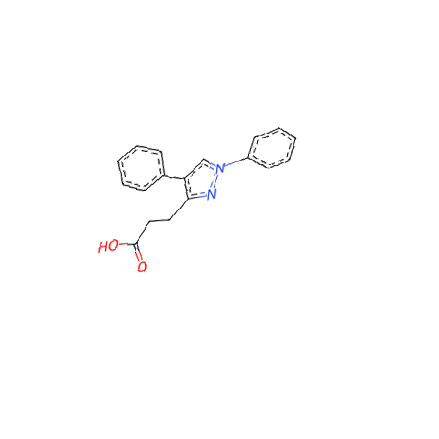 O=C(O)CCc1nn(-c2ccccc2)cc1-c1ccccc1